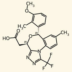 COc1cccc([C@H]2O[C@H](CC(=O)O)c3nnc(C(F)(F)F)n3-c3ccc(C)cc32)c1C